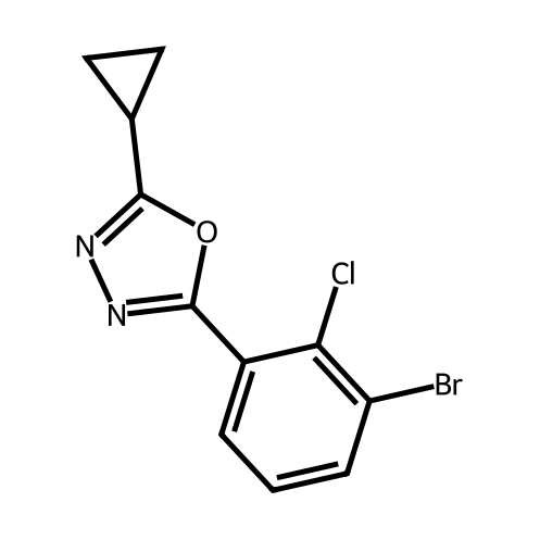 Clc1c(Br)cccc1-c1nnc(C2CC2)o1